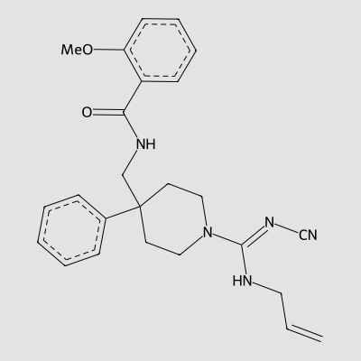 C=CCN/C(=N\C#N)N1CCC(CNC(=O)c2ccccc2OC)(c2ccccc2)CC1